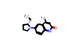 O=c1cc(C(F)(F)F)c2cc(N3CCC[C@@H]3CC(F)(F)F)ccc2[nH]1